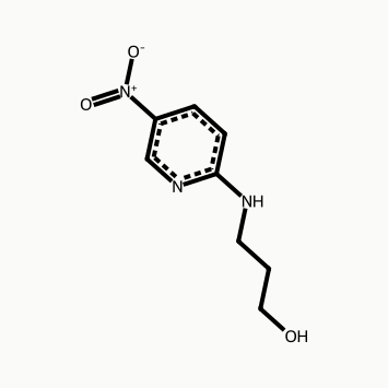 O=[N+]([O-])c1ccc(NCCCO)nc1